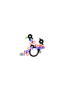 Cc1ccc(CS(=O)(=O)NC(=O)[C@@]23C[C@H]2CCCCCCC[C@H](NC(=O)OC(C)(C)C)C(=O)N2C[C@H](OC(=O)N4Cc5cccc(F)c5C4)C[C@H]2C(=O)N3)cc1